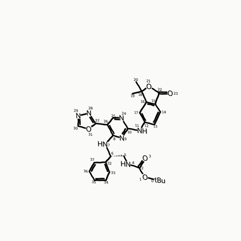 CC(C)(C)OC(=O)NC[C@@H](Nc1nc(Nc2ccc3c(c2)C(C)(C)OC3=O)ncc1-c1nnco1)c1ccccc1